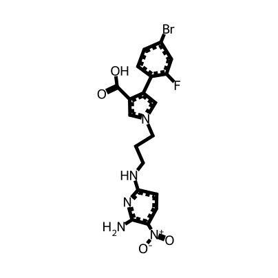 Nc1nc(NCCCn2cc(C(=O)O)c(-c3ccc(Br)cc3F)c2)ccc1[N+](=O)[O-]